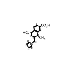 CC1c2cc(C(=O)O)ccc2CCC1Cn1ccnc1.Cl